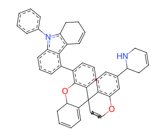 C1=CCC2Oc3c(-c4cccc5c4c4c(n5-c5ccccc5)CCC=C4)cccc3C3(C2=C1)c1ccccc1Oc1cc(C2CC=CCN2)ccc13